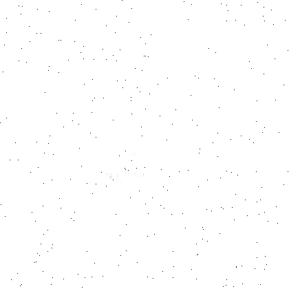 CCC(C)C1(CN)CCCCCCCC1